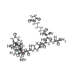 CCCC1O[C@@H]2C[C@@]3(C)[C@@H]4CCC5=CC(=O)C=C[C@]5(C)[C@H]4[C@@H](O)C[C@]3(C)[C@]2(C(=O)COC(=O)NCc2ccc(NC(=O)[C@H](CCCNC(N)=O)NC(=O)[C@@H](NC(=O)CCCCCN3C(=O)C=CC3=O)C(C)C)cc2)O1